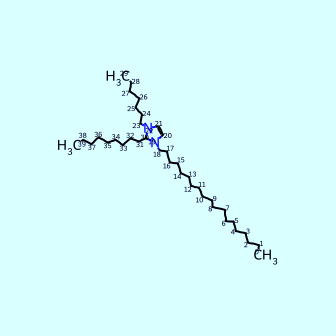 CCCCCCCCCCCCCCCCCCCN1C=CN(CCCCCCC)C1CCCCCCCCC